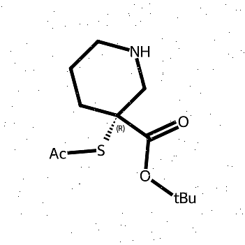 CC(=O)S[C@]1(C(=O)OC(C)(C)C)CCCNC1